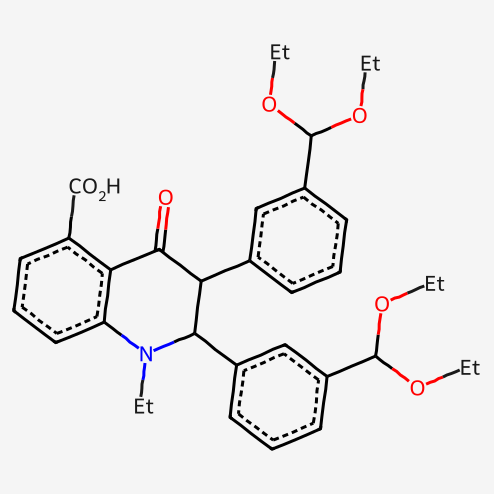 CCOC(OCC)c1cccc(C2C(=O)c3c(C(=O)O)cccc3N(CC)C2c2cccc(C(OCC)OCC)c2)c1